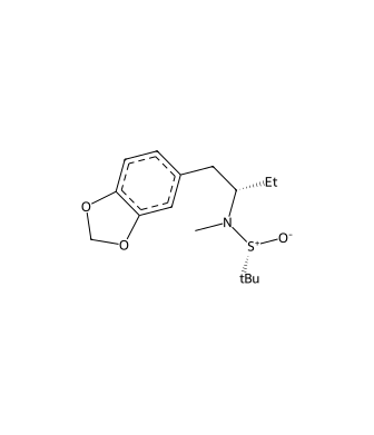 CC[C@@H](Cc1ccc2c(c1)OCO2)N(C)[S@+]([O-])C(C)(C)C